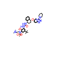 COc1c(NC(=O)N[C@H]2CC[C@@H](Oc3ccc4nnc(N5CCCCC5)n4c3)c3ccccc32)cc(C(C)(C)C)cc1N(CCN(C)C)S(C)(=O)=O